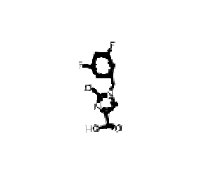 O=C(O)c1cn(Cc2cc(F)cc(F)c2)c(Cl)n1